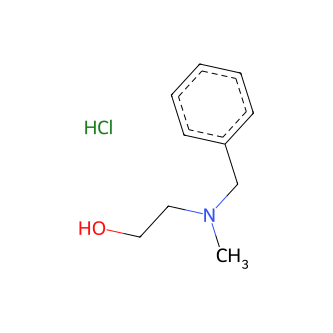 CN(CCO)Cc1ccccc1.Cl